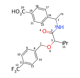 CC(NC(=O)C(OCc1ccc(C(F)(F)F)cc1)C(C)C)c1ccc(C(=O)O)cc1